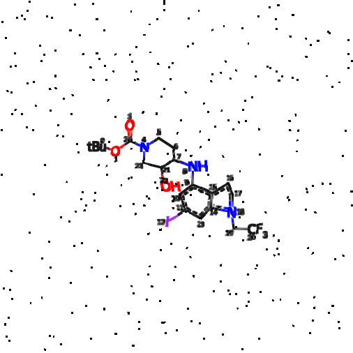 CC(C)(C)OC(=O)N1CCC(Nc2cc(I)cc3c2ccn3CC(F)(F)F)C(O)C1